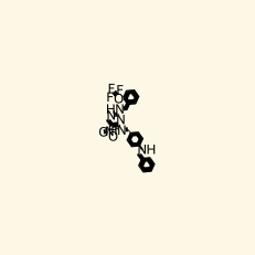 O=[N+]([O-])c1cnc(NCc2ccccc2OC(F)(F)F)nc1NC[C@H]1CC[C@H](NCc2ccccc2)CC1